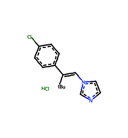 CC(C)(C)C(=Cn1ccnc1)c1ccc(Cl)cc1.Cl